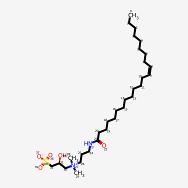 CCCCCCCC/C=C\CCCCCCCCCCCC(=O)NCCC[N+](C)(C)C[C@H](O)CS(=O)(=O)[O-]